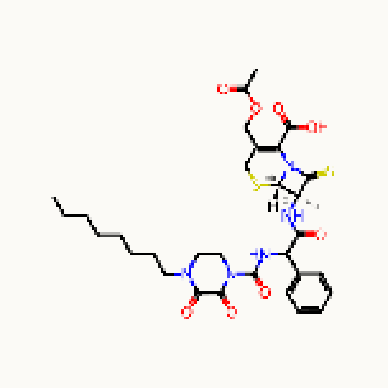 CCCCCCCCN1CCN(C(=O)NC(C(=O)N[C@]2(C)C(=S)N3C(C(=O)O)=C(COC(C)=O)CS[C@H]32)c2ccccc2)C(=O)C1=O